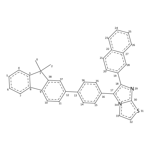 CC1(C)c2ccccc2-c2ccc(-c3ccc(-c4c(-c5ccc6ccccc6c5)nc5sccn45)cc3)cc21